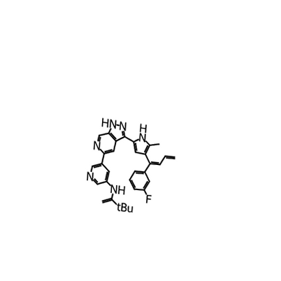 C=C/C=C(/c1cccc(F)c1)c1cc(-c2n[nH]c3cnc(-c4cncc(NC(=C)C(C)(C)C)c4)cc23)[nH]c1C